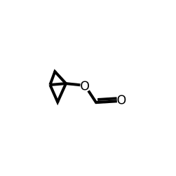 O=COC12CC1C2